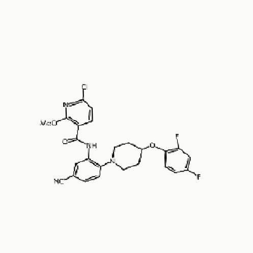 COc1nc(Cl)ccc1C(=O)Nc1cc(C#N)ccc1N1CCC(Oc2ccc(F)cc2F)CC1